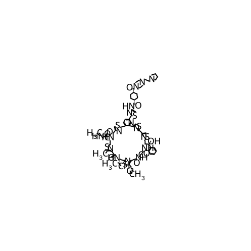 CNC(=O)C[C@@H]1NC(=O)c2csc(n2)-c2ccc(-c3nc(NC(=O)[C@H]4CC[C@H](C(=O)N5CCN(CCN6CCCC6)CC5)CC4)cs3)nc2-c2csc(n2)-c2csc(n2)[C@H]([C@@H](O)c2ccccc2)NC(=O)CNC(=O)c2nc(sc2COC)[C@H](C(C)C)NC(=O)c2nc1sc2C